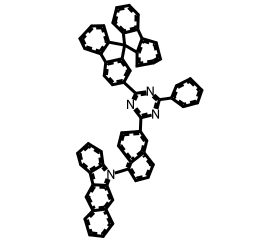 c1ccc(-c2nc(-c3ccc4c(c3)C3(c5ccccc5-c5ccccc53)c3ccccc3-4)nc(-c3ccc4c(-n5c6ccccc6c6cc7ccccc7cc65)cccc4c3)n2)cc1